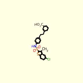 Cc1c(S(=O)(=O)Nc2ccc(CCc3cccc(C(=O)O)c3)cc2)sc2ccc(Cl)cc12